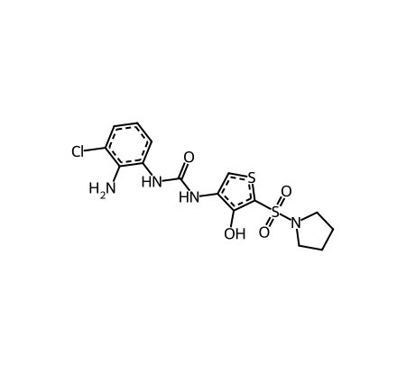 Nc1c(Cl)cccc1NC(=O)Nc1csc(S(=O)(=O)N2CCCC2)c1O